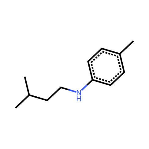 Cc1ccc(NCCC(C)C)cc1